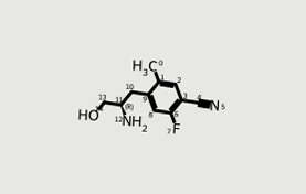 Cc1cc(C#N)c(F)cc1C[C@@H](N)CO